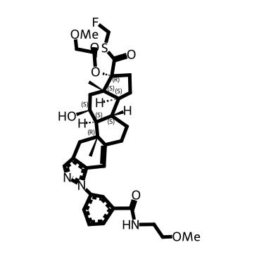 COCCNC(=O)c1cccc(-n2ncc3c2C=C2CC[C@@H]4[C@H]([C@@H](O)C[C@@]5(C)[C@H]4CC[C@]5(OC(=O)COC)C(=O)SCF)[C@@]2(C)C3)c1